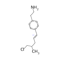 CC(CCl)C/C=C/c1ccc(CCN)cc1